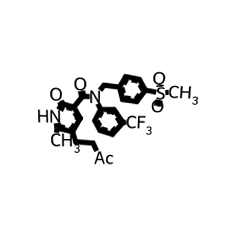 CC(=O)CCc1cc(C(=O)N(Cc2ccc(S(C)(=O)=O)cc2)c2cccc(C(F)(F)F)c2)c(=O)[nH]c1C